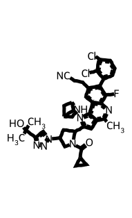 Cc1nc2c(F)c(-c3cccc(Cl)c3Cl)c(CCC#N)cc2c2c1cc(C1CC(n3cc(C(C)(C)O)nn3)CN1C(=O)C1CC1)n2C1C2CNC1C2